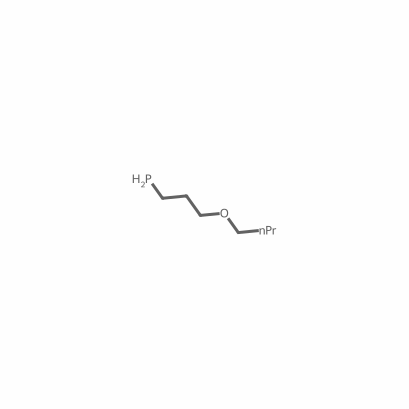 CCCCOCCCP